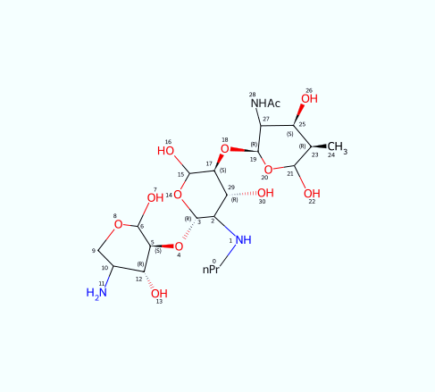 CCCNC1[C@H](O[C@@H]2C(O)OCC(N)[C@H]2O)OC(O)[C@@H](O[C@@H]2OC(O)[C@H](C)[C@H](O)C2NC(C)=O)[C@@H]1O